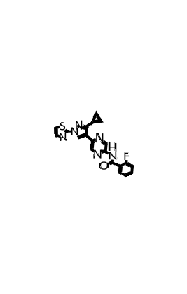 O=C(Nc1cnc(-c2cn(-c3nccs3)nc2C2CC2)cn1)c1ccccc1F